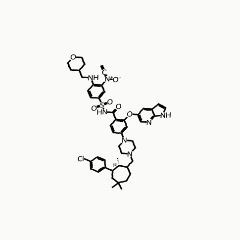 C=C=[N+]([O-])c1cc(S(=O)(=O)NC(=O)c2ccc(N3CCN(CC4CCC(C)(C)CC(c5ccc(Cl)cc5)[C@@H]4C)CC3)cc2Oc2cnc3[nH]ccc3c2)ccc1NCC1CCOCC1